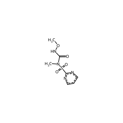 CONC(=O)N(C)S(=O)(=O)c1ncccn1